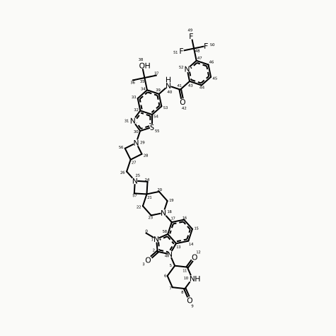 Cn1c(=O)n(C2CCC(=O)NC2=O)c2cccc(N3CCC4(CC3)CN(CC3CN(c5nc6cc(C(C)(C)O)c(NC(=O)c7cccc(C(F)(F)F)n7)cc6s5)C3)C4)c21